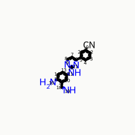 N#Cc1cccc(-c2ccnc(Nc3ccc(N)c(C=N)c3)n2)c1